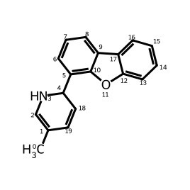 CC1=CNC(c2cccc3c2oc2ccccc23)C=C1